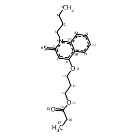 CCCCn1c(=S)cc(OCCCOC(=O)CC)c2ccccc21